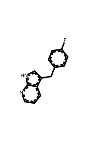 Fc1ccc(Cc2c[nH]c3ncccc23)cc1